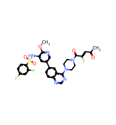 COc1ncc(-c2ccc3ncnc(N4CCN(C(=O)/C(F)=C/C(C)=O)CC4)c3c2)cc1NS(=O)(=O)c1ccc(F)cc1F